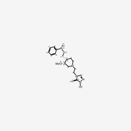 CCn1nnn(CCN2CC[C@@H](CON(C(C)=O)c3ccccc3)[C@@H](OC)C2)c1=O